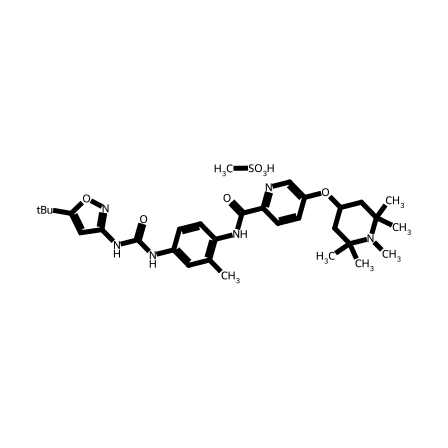 CS(=O)(=O)O.Cc1cc(NC(=O)Nc2cc(C(C)(C)C)on2)ccc1NC(=O)c1ccc(OC2CC(C)(C)N(C)C(C)(C)C2)cn1